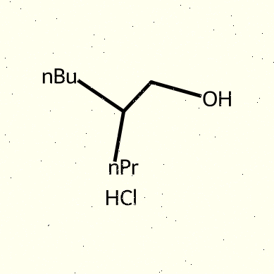 CCCCC(CO)CCC.Cl